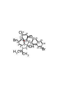 CN(C)CCC(O)(c1ccc(Br)cc1)C(c1ccc(Cl)cc1)c1cc2cc(Br)ccc2cc1O